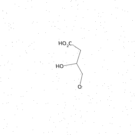 [O]CC(O)CC(=O)O